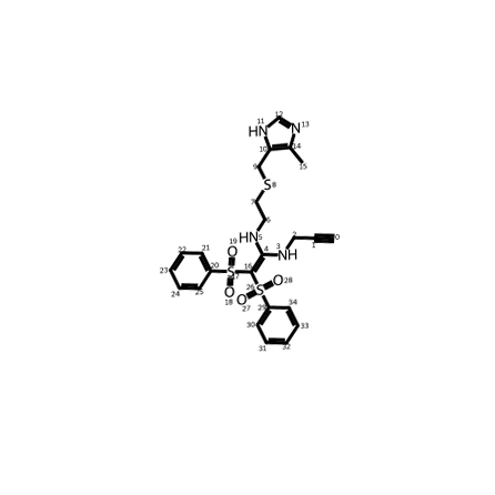 C#CCNC(NCCSCc1[nH]cnc1C)=C(S(=O)(=O)c1ccccc1)S(=O)(=O)c1ccccc1